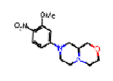 COc1cc(N2CCN3CCOCC3C2)ccc1[N+](=O)[O-]